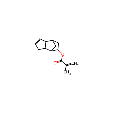 C=C(C)C(=O)OC1CC2CC1C1CC=CC21